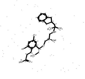 CC[C@@H](OC[C@H](O)CNC(C)(C)CC1Cc2ccccc2C1)c1cc(F)cc(F)c1CCC(=O)O